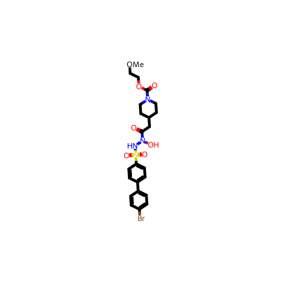 COCCOC(=O)N1CCC(CC(=O)N(O)NS(=O)(=O)c2ccc(-c3ccc(Br)cc3)cc2)CC1